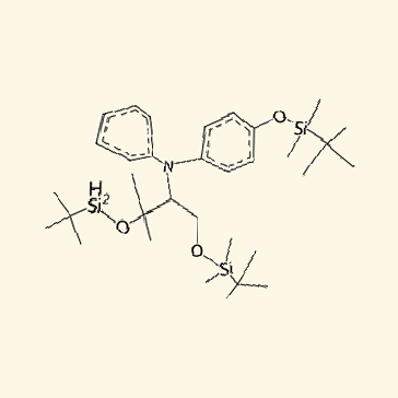 CC(C)(C)[SiH2]OC(C)(C)C(CO[Si](C)(C)C(C)(C)C)N(c1ccccc1)c1ccc(O[Si](C)(C)C(C)(C)C)cc1